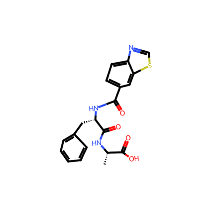 C[C@H](NC(=O)[C@H](Cc1ccccc1)NC(=O)c1ccc2ncsc2c1)C(=O)O